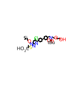 CC(Sc1nc2nc(-c3ccc(-c4ccc(CN(CCOCCO)C(=O)OC(C)(C)C)cc4)cc3)c(Cl)cc2n1COCC[Si](C)(C)C)C(=O)O